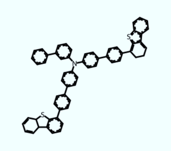 C1=CC2Sc3c(-c4ccc(-c5ccc(N(c6ccc(-c7ccc(C8=c9sc%10ccccc%10c9=CCC8)cc7)cc6)c6cccc(-c7ccccc7)c6)cc5)cc4)cccc3C2C=C1